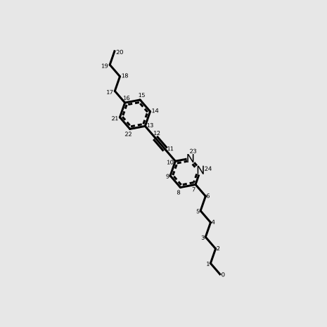 CCCCCCCc1ccc(C#Cc2ccc(CCCC)cc2)nn1